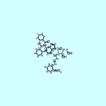 O=C(c1ccccc1)N(C(=O)c1ccccc1)c1ncnc2c1ncn2[C@@H]1O[C@H](CO)[C@@H](O)[C@@H]1[Se]COCc1ccccc1[N+](=O)[O-]